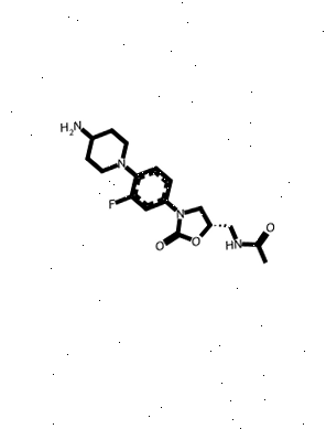 CC(=O)NC[C@H]1CN(c2ccc(N3CCC(N)CC3)c(F)c2)C(=O)O1